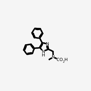 CN(Cc1nc(-c2ccccc2)c(-c2ccccc2)[nH]1)C(=O)O